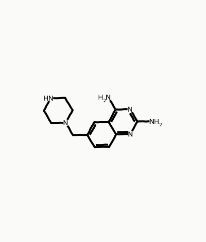 Nc1nc(N)c2cc(CN3CCNCC3)ccc2n1